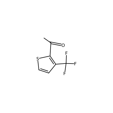 CC(=O)c1sccc1C(F)(F)F